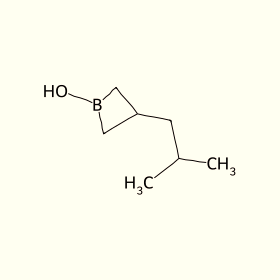 CC(C)CC1CB(O)C1